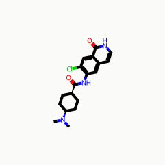 CN(C)[C@H]1CC[C@@H](C(=O)Nc2cc3cc[nH]c(=O)c3cc2Cl)CC1